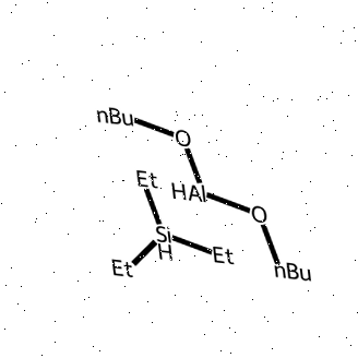 CCCC[O][AlH][O]CCCC.CC[SiH](CC)CC